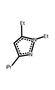 CCc1cc(C(C)C)nn1CC